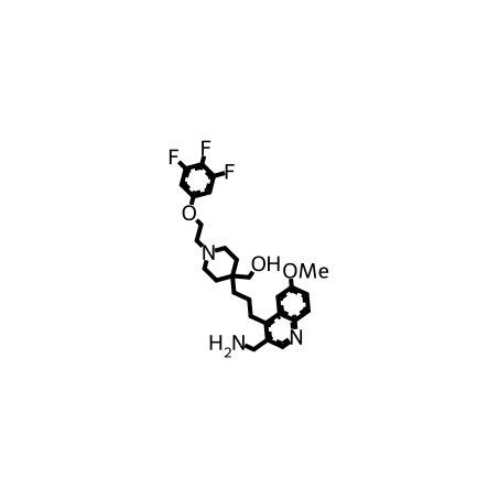 COc1ccc2ncc(CN)c(CCCC3(CO)CCN(CCOc4cc(F)c(F)c(F)c4)CC3)c2c1